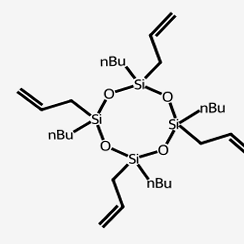 C=CC[Si]1(CCCC)O[Si](CC=C)(CCCC)O[Si](CC=C)(CCCC)O[Si](CC=C)(CCCC)O1